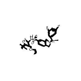 CCOCc1c(NS(=O)(=O)c2ccc3c(c2)CN([C@H](C)c2cc(F)cc(F)c2)CC3)noc1C(C)(C)C